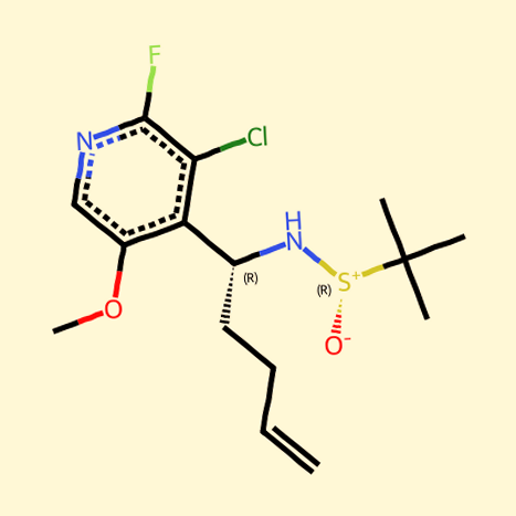 C=CCC[C@@H](N[S@@+]([O-])C(C)(C)C)c1c(OC)cnc(F)c1Cl